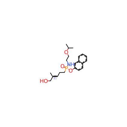 C/C(=C\CCP(=O)(NCCOC(C)C)Oc1ccc2ccccc2c1)CO